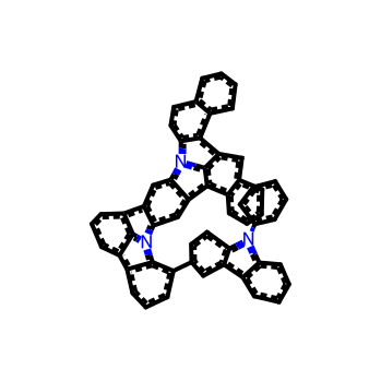 c1ccc(-n2c3ccccc3c3cc(-c4cccc5c6cccc7c8cc9c(cc8n(c45)c76)c4c5ccccc5cc5c6c7ccccc7ccc6n9c54)ccc32)cc1